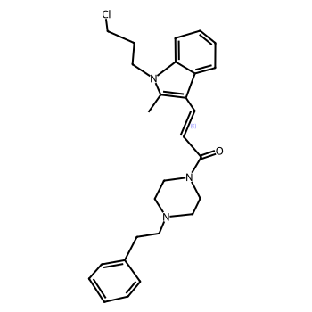 Cc1c(/C=C/C(=O)N2CCN(CCc3ccccc3)CC2)c2ccccc2n1CCCCl